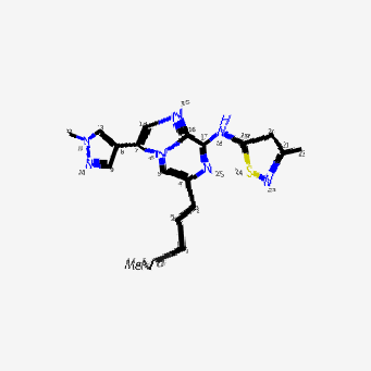 CNCCCc1cn2c(-c3cnn(C)c3)cnc2c(NC2CC(C)=NS2)n1